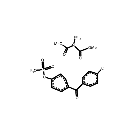 COC(=O)N(N)C(=O)OC.O=C(c1ccc(Cl)cc1)c1ccc(OS(=O)(=O)C(F)(F)F)cc1